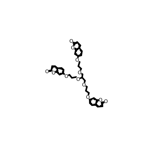 O=c1ccc2ccc(OCCCOCC(COCCCOc3ccc4ccc(=O)oc4c3)OCCCOc3ccc4ccc(=O)oc4c3)cc2o1